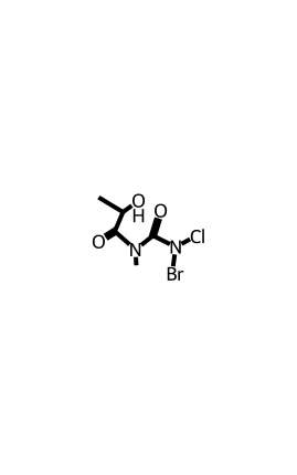 CC(O)C(=O)N(C)C(=O)N(Cl)Br